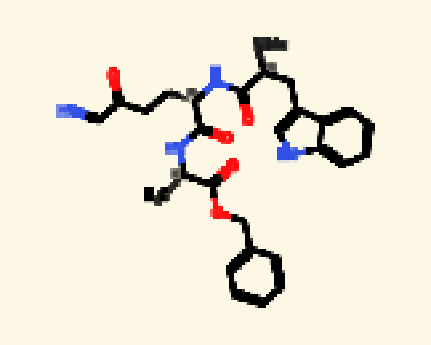 CC(=O)N[C@@H](Cc1c[nH]c2ccccc12)C(=O)N[C@@H](CCC(=O)C=N)C(=O)N[C@@H](C)C(=O)OCc1ccccc1